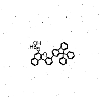 OBOc1cc2ccccc2c2c1oc1c(-c3ccc4c(c3)C(c3ccccc3)(c3ccccc3)c3ccccc3-4)cccc12